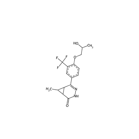 CC(O)COc1ccc(C2=NNC(=O)C3C(C)C23)cc1C(F)(F)F